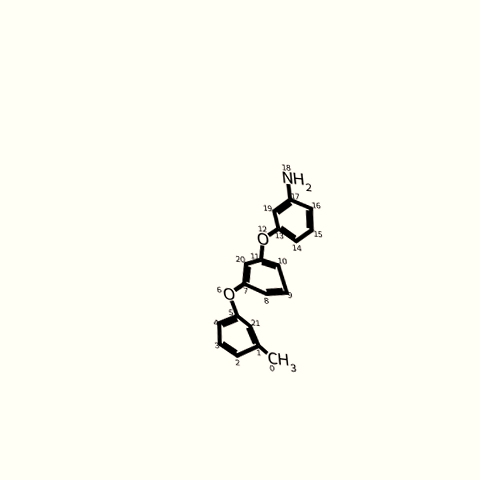 Cc1cccc(Oc2cccc(Oc3cccc(N)c3)c2)c1